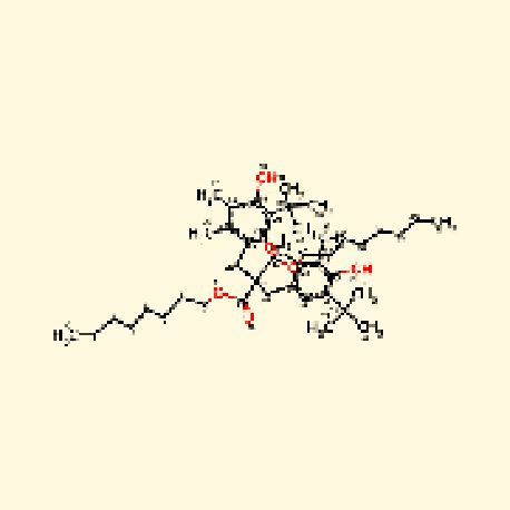 CCCCCCCCOC(=O)C(Cc1cc(C(C)(C)C)c(O)c(C)c1C)(Cc1cc(C(C)(C)C)c(O)c(C)c1C)C(=O)OCCCCCCCC